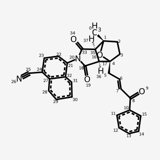 C[C@@]12CC[C@@](C/C=C/C(=O)c3ccccc3)(O1)[C@H]1C(=O)N(c3ccc(C#N)c4ccccc34)C(=O)[C@H]12